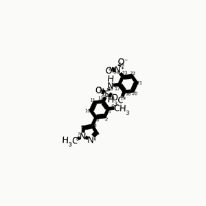 Cc1cc(-c2cnn(C)c2)ccc1S(=O)(=O)Nc1c(C)cccc1[N+](=O)[O-]